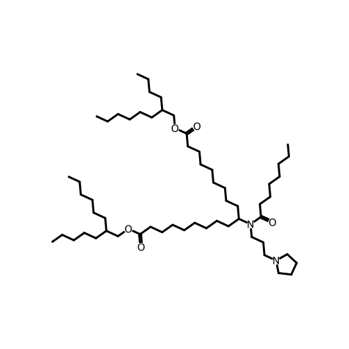 CCCCCCCC(=O)N(CCCN1CCCC1)C(CCCCCCCCC(=O)OCC(CCCC)CCCCCC)CCCCCCCCC(=O)OCC(CCCCC)CCCCCC